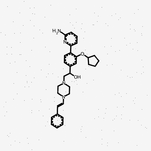 Nc1cccc(-c2ccc(C(O)CN3CCN(C=Cc4ccccc4)CC3)cc2OC2CCCC2)n1